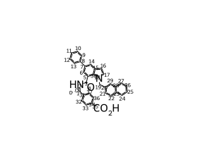 C[C@H](NC(=O)c1cc(-c2ccccc2)cc2ccn(Cc3ccc4ccccc4c3)c12)c1ccc(C(=O)O)cc1